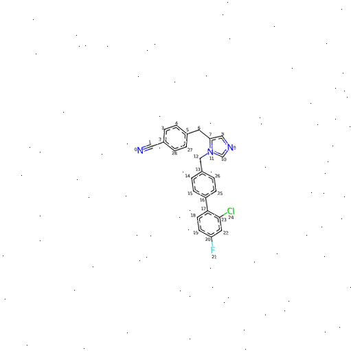 N#Cc1ccc(Cc2cncn2Cc2ccc(-c3ccc(F)cc3Cl)cc2)cc1